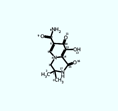 CC1(C)Cn2cc(C(N)=O)c(=O)c(O)c2C(=O)N1